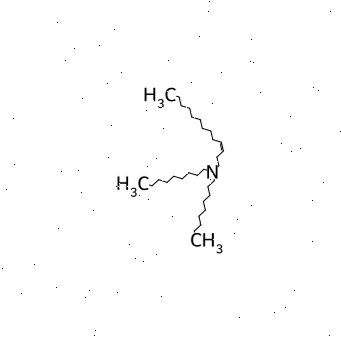 CCCCCCCCC/C=C\CCN(CCCCCCCCC)CCCCCCCCC